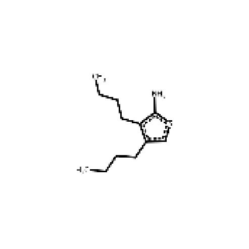 CCCCc1csc(N)c1CCCC